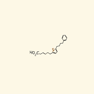 O=C(O)CCCCCc1ccc(CCCCc2ccccc2)s1